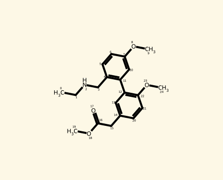 CCNCc1ccc(OC)cc1-c1cc(CC(=O)OC)ccc1OC